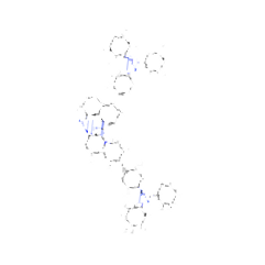 Nc1cccc2c(-c3ccc(N(c4ccccc4)c4ccccc4)cc3)ccc(-c3cccc4cc(-c5ccc(N(c6ccccc6)c6ccccc6)cc5)ccc34)c12